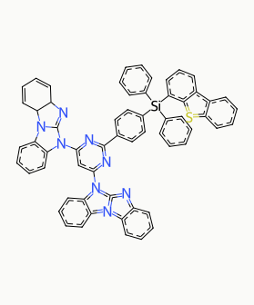 C1=CC2N=C3N(c4cc(-n5c6ccccc6n6c7ccccc7nc56)nc(-c5ccc([Si](c6ccccc6)(c6ccccc6)c6cccc7c6sc6ccccc67)cc5)n4)c4ccccc4N3C2C=C1